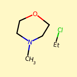 CCCl.CN1CCOCC1